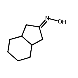 ON=C1CC2CCCCC2C1